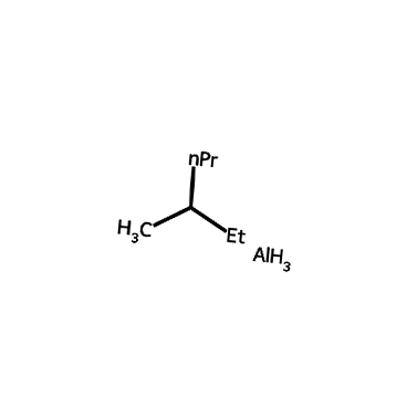 [AlH3].[CH2]CC(C)CCC